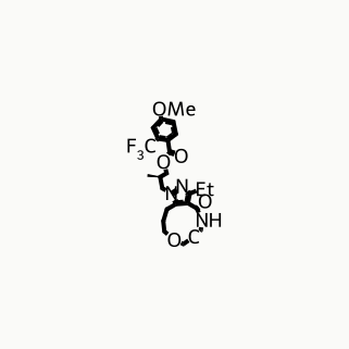 CCc1nn(C[C@@H](C)COC(=O)c2ccc(OC)cc2C(F)(F)F)c2c1C(=O)NCCCOCCC2